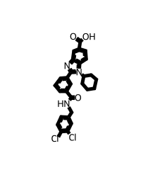 O=C(O)c1ccc2c(c1)nc(-c1cccc(C(=O)NCc3ccc(Cl)c(Cl)c3)c1)n2C1CCCCC1